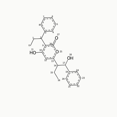 CCC(c1ccccc1)c1c(O)cc(C(CC)C(O)c2ccccc2)oc1=O